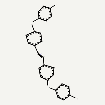 Nc1ccc(Oc2ccc(/C=C/c3ccc(Oc4ccc(N)cc4)cc3)cc2)cc1